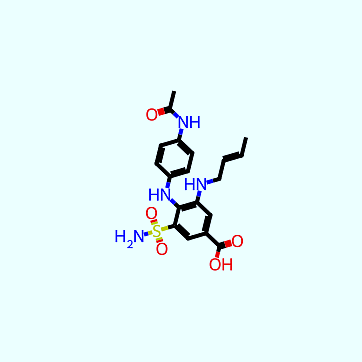 CC=CCNc1cc(C(=O)O)cc(S(N)(=O)=O)c1Nc1ccc(NC(C)=O)cc1